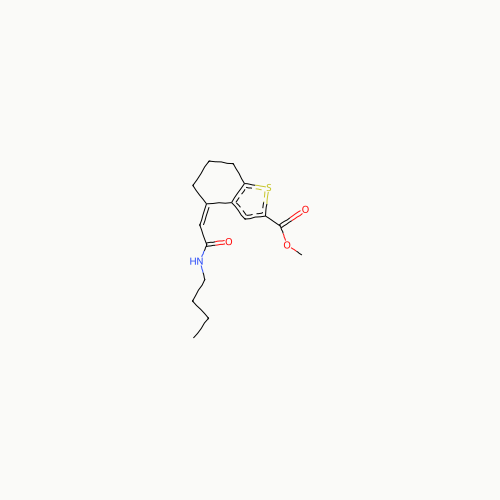 CCCCNC(=O)/C=C1/CCCc2sc(C(=O)OC)cc21